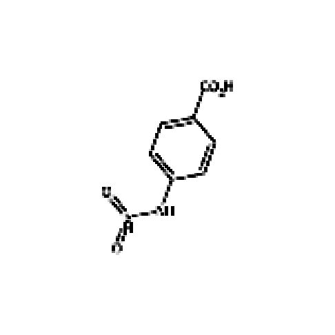 O=C(O)c1ccc(N[SH](=O)=O)cc1